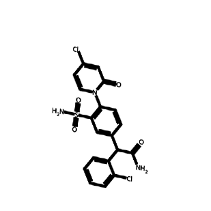 NC(=O)C(c1ccc(-n2ccc(Cl)cc2=O)c(S(N)(=O)=O)c1)c1ccccc1Cl